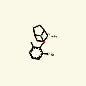 COc1cccc(F)c1CN1C2CCC1[C@H](C(C)C)CC2